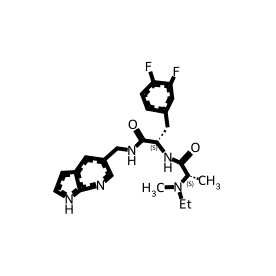 CCN(C)[C@@H](C)C(=O)N[C@@H](Cc1ccc(F)c(F)c1)C(=O)NCc1cnc2[nH]ccc2c1